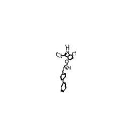 Clc1ccc(OCCNCc2ccc(-c3ccccc3)cc2)c2c(Cl)c[nH]c12